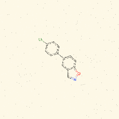 Clc1ccc(-c2ccc3oncc3c2)cc1